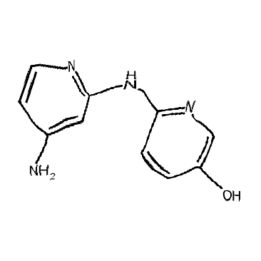 Nc1ccnc(Nc2ccc(O)cn2)c1